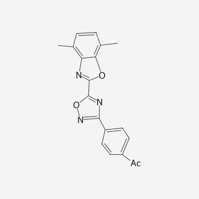 CC(=O)c1ccc(-c2noc(-c3nc4c(C)ccc(C)c4o3)n2)cc1